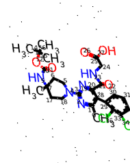 Cc1nc(N2CCC(C)(NC(=O)OC(C)(C)C)CC2)nc(C(=O)NCC(=O)O)c1-c1cccc(Cl)c1Cl